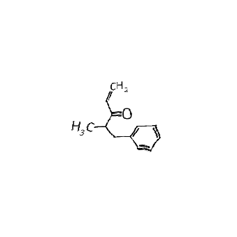 C=CC(=O)C(C)Cc1ccccc1